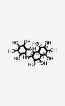 Oc1c(O)c(O)c2c(c1O)Nc1c(O)c(O)c3c(O)c(O)c(O)c(O)c3c1N2